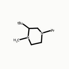 CC(C)N1CCN(C)C(C(C)(C)C)C1